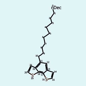 CCCCCCCCCCCCCCCCCCCCc1cc2ccsc2c2sccc12